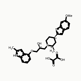 COc1ccc2cc([C@@H]3CCN(C[C@H](O)COc4cccc5[nH]c(C)cc45)[C@H](C)C3)sc2c1.O=C(O)C(=O)O